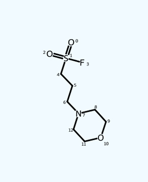 O=S(=O)(F)CCCN1CCOCC1